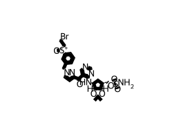 CC1(C)O[C@@H]2[C@@H](COS(N)(=O)=O)C[C@@H](Nc3ncncc3C(=O)c3ccn(Cc4cccc([S+]([O-])CCBr)c4)n3)[C@@H]2O1